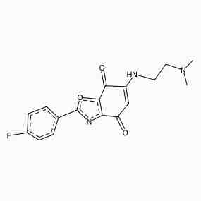 CN(C)CCNC1=CC(=O)c2nc(-c3ccc(F)cc3)oc2C1=O